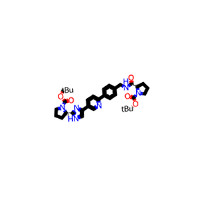 CC(C)(C)OC(=O)N1CCC[C@H]1C(=O)NCc1ccc(-c2ccc(-c3c[nH]c([C@@H]4CCCN4C(=O)OC(C)(C)C)n3)cn2)cc1